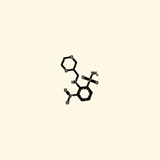 NS(=O)(=O)c1cccc([N+](=O)[O-])c1NCC1COCCO1